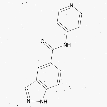 O=C(Nc1ccncc1)c1ccc2[nH]ncc2c1